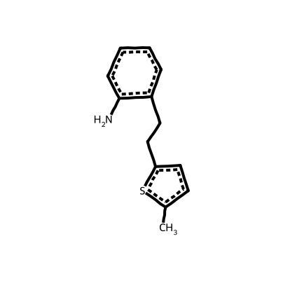 Cc1ccc(CCc2ccccc2N)s1